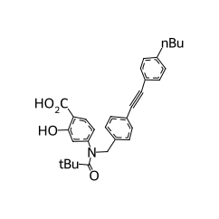 CCCCc1ccc(C#Cc2ccc(CN(C(=O)C(C)(C)C)c3ccc(C(=O)O)c(O)c3)cc2)cc1